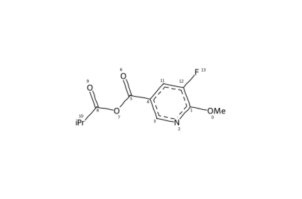 COc1ncc(C(=O)OC(=O)C(C)C)cc1F